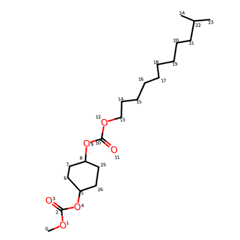 COC(=O)OC1CCC(OC(=O)OCCCCCCCCCC(C)C)CC1